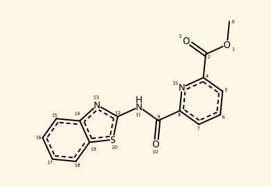 COC(=O)c1cccc(C(=O)Nc2nc3ccccc3s2)n1